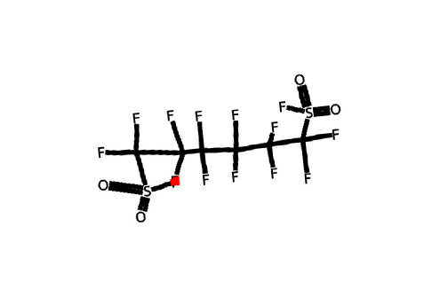 O=S(=O)(F)C(F)(F)C(F)(F)C(F)(F)C(F)(F)C(F)(F)C(F)(F)S(=O)(=O)F